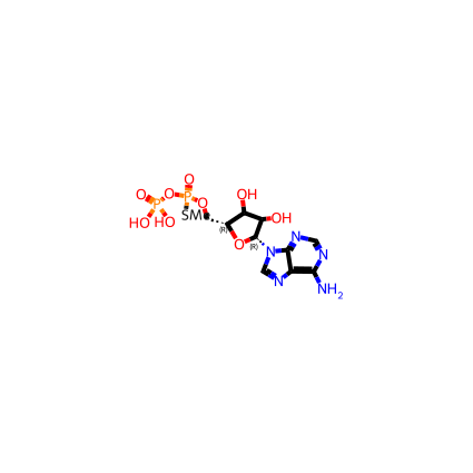 CSP(=O)(OC[C@H]1O[C@@H](n2cnc3c(N)ncnc32)C(O)C1O)OP(=O)(O)O